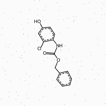 O=C(Nc1ccc(O)cc1Cl)OCc1ccccc1